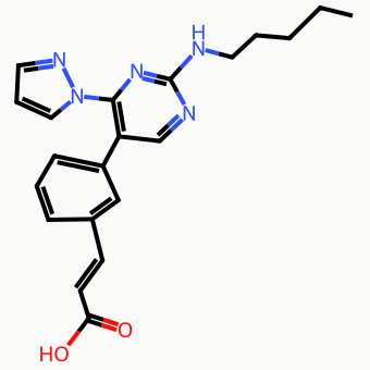 CCCCCNc1ncc(-c2cccc(C=CC(=O)O)c2)c(-n2cccn2)n1